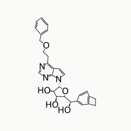 O[C@@H]1[C@H](O)[C@@H]([C@H](O)c2ccc3c(c2)CC3)O[C@H]1n1ccc2c(CCOCc3ccccc3)ncnc21